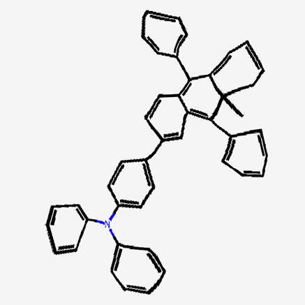 CC12CC=CC=C1C(c1ccccc1)=c1ccc(-c3ccc(N(c4ccccc4)c4ccccc4)cc3)cc1=C2c1ccccc1